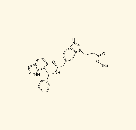 CC(C)(C)OC(=O)CCc1c[nH]c2ccc(CC(=O)NC(c3ccccc3)c3cccc4cc[nH]c34)cc12